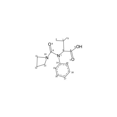 CC(C)C(C(=O)O)N(C(=O)N1CCC1)c1ccccc1